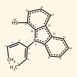 C/C=C\C(=C/C)n1c2ccccc2c2cccc(S)c21